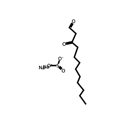 CCCCCCCCCC(=O)CC=O.O=S([O-])[O-].[Na+].[Na+]